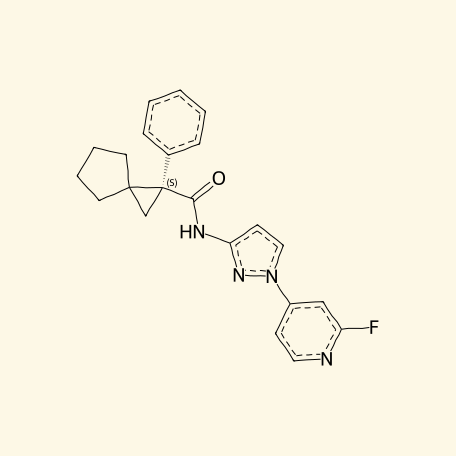 O=C(Nc1ccn(-c2ccnc(F)c2)n1)[C@@]1(c2ccccc2)CC12CCCC2